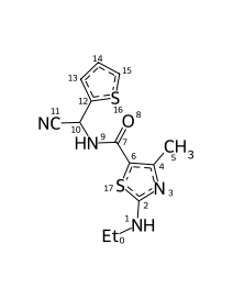 CCNc1nc(C)c(C(=O)NC(C#N)c2cccs2)s1